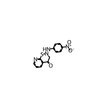 O=C1CN(Nc2ccc([N+](=O)[O-])cc2)Sc2ncccc21